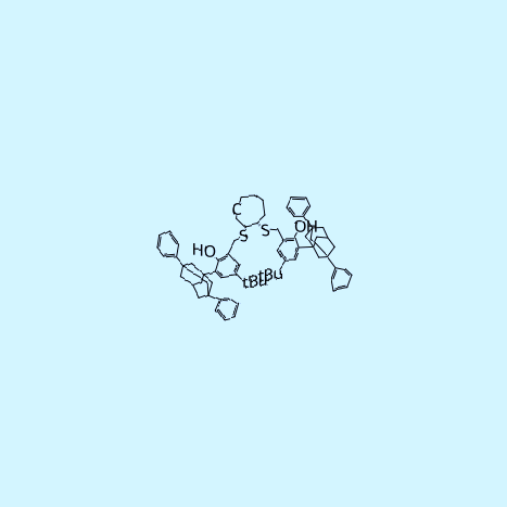 CC(C)(C)c1cc(CS[C@H]2CCCCCC[C@@H]2SCc2cc(C(C)(C)C)cc(C34CC5CC(c6ccccc6)(CC(c6ccccc6)(C5)C3)C4)c2O)c(O)c(C23CC4CC(c5ccccc5)(CC(c5ccccc5)(C4)C2)C3)c1